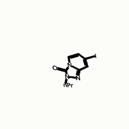 CCCn1nc2cc(I)ccn2c1=O